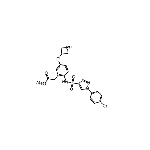 COC(=O)Cc1cc(OC2CNC2)ccc1NS(=O)(=O)c1cnn(-c2ccc(Cl)cc2)c1